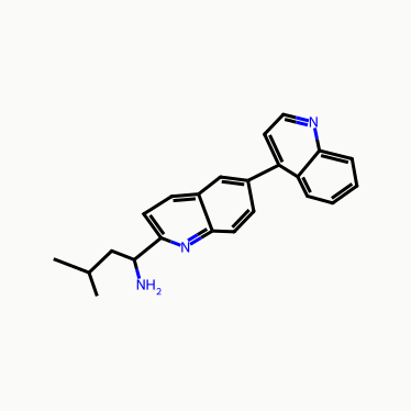 CC(C)CC(N)c1ccc2cc(-c3ccnc4ccccc34)ccc2n1